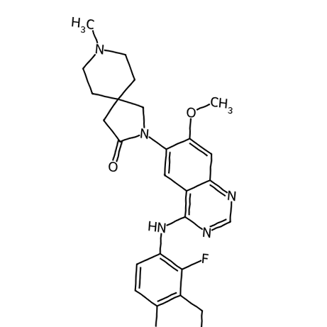 CCc1c(Cl)ccc(Nc2ncnc3cc(OC)c(N4CC5(CCN(C)CC5)CC4=O)cc23)c1F